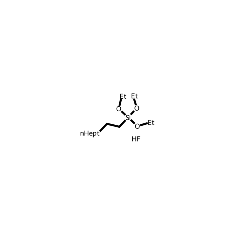 CCCCCCCCC[Si](OCC)(OCC)OCC.F